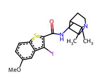 COc1ccc2sc(C(=O)NC3C4CCN(CC4)C3(C)C)c(I)c2c1